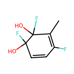 CC1=C(F)C=CC(O)(F)C1(O)F